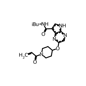 C=CC(=O)N1CCC(Oc2cnc3[nH]cc(C(=O)N[C@H](C)CC)c3n2)CC1